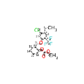 CCc1cc(C(F)(F)F)c(OCc2ccccc2OC(=O)OC)cc1Cl